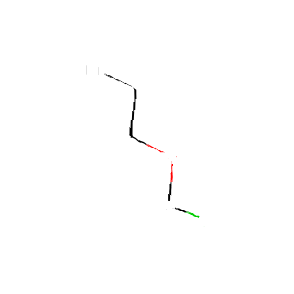 CCCC[O][Ta][Cl]